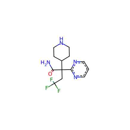 NC(=O)C(CC(F)(F)F)(c1ncccn1)C1CCNCC1